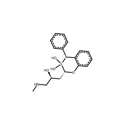 CNC[C@@H](O)C[C@H]1Oc2ccccc2N(c2ccccc2)S1(O)O